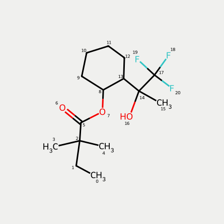 CCC(C)(C)C(=O)OC1CCCCC1C(C)(O)C(F)(F)F